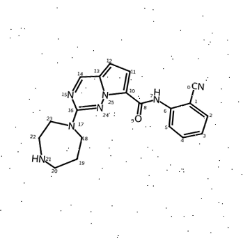 N#Cc1ccccc1NC(=O)c1ccc2cnc(N3CCCNCC3)nn12